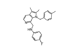 Cc1ccc(Cn2c(C)c(C)c3ccnc(CNc4ccc(F)cc4)c32)cc1